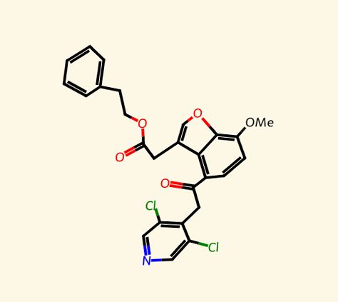 COc1ccc(C(=O)Cc2c(Cl)cncc2Cl)c2c(CC(=O)OCCc3ccccc3)coc12